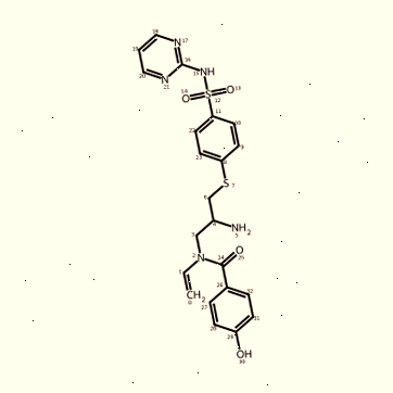 C=CN(CC(N)CSc1ccc(S(=O)(=O)Nc2ncccn2)cc1)C(=O)c1ccc(O)cc1